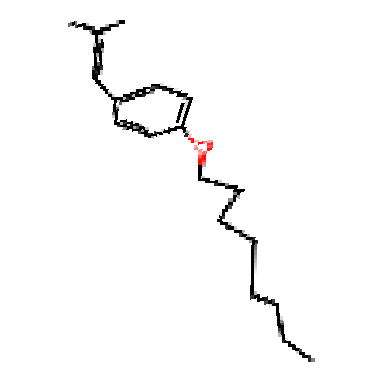 CCCCCCCCOc1ccc(C=C(C)C)cc1